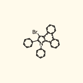 Brc1c(-c2ccccc2)n(-c2ccccc2)c2c3ccccc3c3ccccc3c12